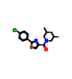 CC1CC(C)CN(C(=O)c2csc(-c3ccc(Cl)cc3)n2)C1